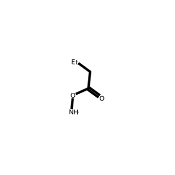 CCCC(=O)O[NH]